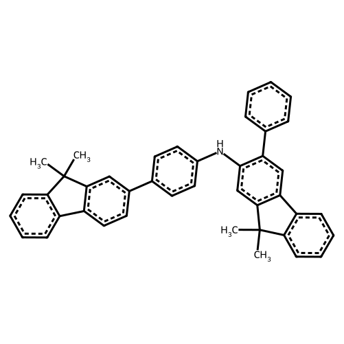 CC1(C)c2ccccc2-c2ccc(-c3ccc(Nc4cc5c(cc4-c4ccccc4)-c4ccccc4C5(C)C)cc3)cc21